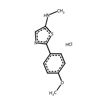 CNc1cnc(-c2ccc(OC)cc2)s1.Cl